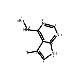 CCCCNc1ncnc2[nH]cc(C)c12